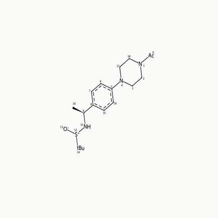 CC(=O)N1CCN(c2ccc([C@H](C)N[S+]([O-])C(C)(C)C)cc2)CC1